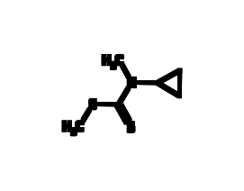 CSC(=S)N(C)C1CC1